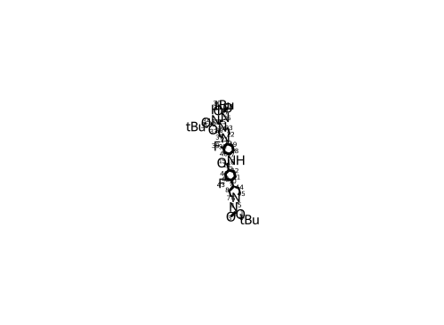 CC(C)(C)OC(=O)N=CN1CC=C(c2ccc(C(=O)Nc3ccc(N4CCN(C(=NC(=O)OC(C)(C)C)NC(=O)OC(C)(C)C)CC4)c(F)c3)cc2F)CC1